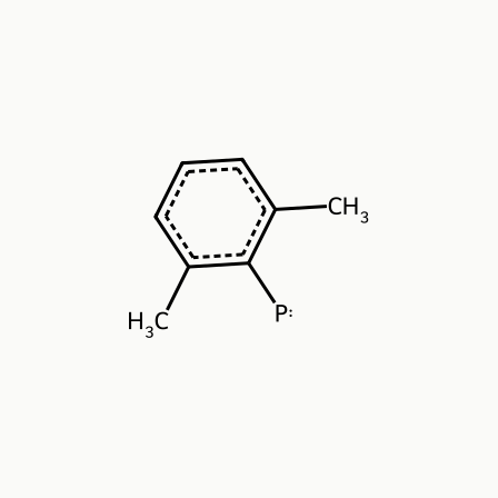 Cc1cccc(C)c1[P]